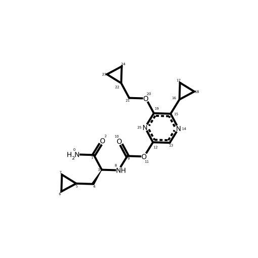 NC(=O)[C@H](CC1CC1)NC(=O)Oc1cnc(C2CC2)c(OCC2CC2)n1